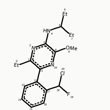 CCc1nc(NC(CC)CC)c(OC)nc1-c1ccccc1C(F)Cl